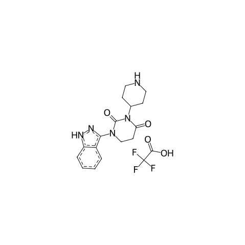 O=C(O)C(F)(F)F.O=C1CCN(c2n[nH]c3ccccc23)C(=O)N1C1CCNCC1